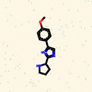 COc1ccc(-c2cnc(C3CCCN3)[nH]2)cc1